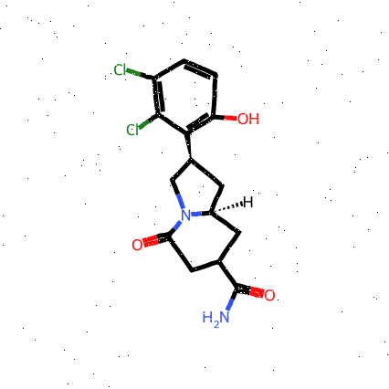 NC(=O)C1CC(=O)N2C[C@@H](c3c(O)ccc(Cl)c3Cl)C[C@H]2C1